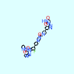 Cn1nc(N2CCC(=O)NC2=O)c2ccc(C3CCN(CC(=O)N4CCN(c5ccc(-c6cc(F)c7c(c6)C(=O)N(C(C(=O)Nc6ccccn6)c6ncn8c6CCC8)C7)cc5)CC4)CC3)cc21